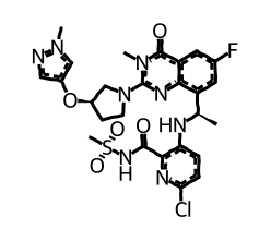 C[C@@H](Nc1ccc(Cl)nc1C(=O)NS(C)(=O)=O)c1cc(F)cc2c(=O)n(C)c(N3CC[C@@H](Oc4cnn(C)c4)C3)nc12